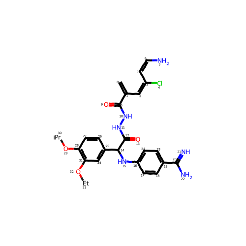 C=C(/C=C(Cl)\C=C/N)C(=O)NNC(=O)C(Nc1ccc(C(=N)N)cc1)c1ccc(OC(C)C)c(OCC)c1